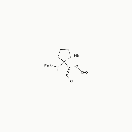 Br.CCCC(C)NC1(C(=CCl)OC=O)CCCC1